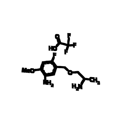 COc1cc(F)c(COCC(C)N)cc1N.O=C(O)C(F)(F)F